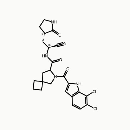 N#C[C@H](C[C@@H]1CCNC1=O)NC(=O)C1CC2(CCC2)CN1C(=O)c1cc2ccc(Cl)c(Cl)c2[nH]1